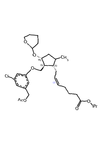 CC(=O)OCc1cc(Cl)cc(OC[C@H]2[C@H](OC3CCCCO3)CC(C)[C@@H]2C/C=C\CCCC(=O)OC(C)C)c1